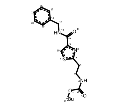 CC(C)(C)OC(=O)NCCc1nc(C(=O)NCc2ccccc2)cs1